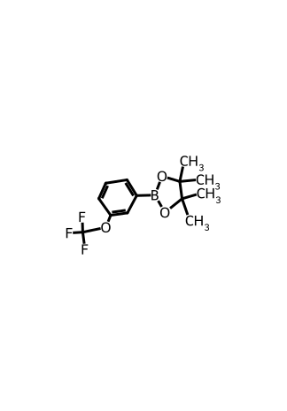 CC1(C)OB(c2cccc(OC(F)(F)F)c2)OC1(C)C